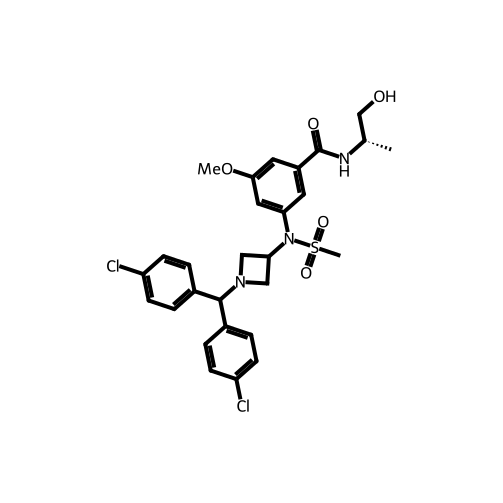 COc1cc(C(=O)N[C@@H](C)CO)cc(N(C2CN(C(c3ccc(Cl)cc3)c3ccc(Cl)cc3)C2)S(C)(=O)=O)c1